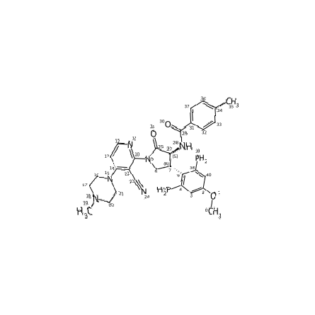 COc1cc(P)c([C@@H]2CN(c3nccc(N4CCN(C)CC4)c3C#N)C(=O)[C@H]2NC(=O)c2ccc(C)cc2)c(P)c1